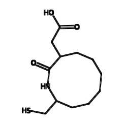 O=C(O)CC1CCCCCCC(CS)NC1=O